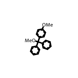 [CH2]OC(c1ccccc1)(c1ccccc1)c1ccc(OC)cc1